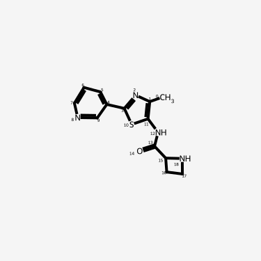 Cc1nc(-c2cccnc2)sc1NC(=O)C1CCN1